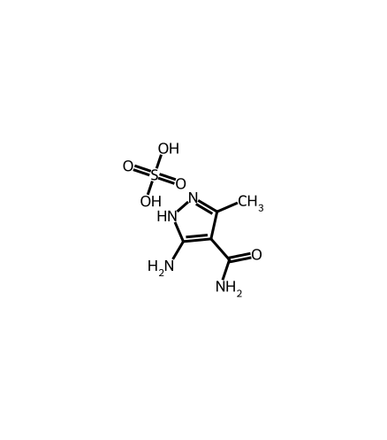 Cc1n[nH]c(N)c1C(N)=O.O=S(=O)(O)O